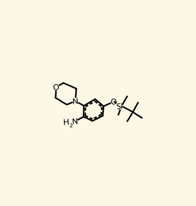 CC(C)(C)[Si](C)(C)Oc1ccc(N)c(N2CCOCC2)c1